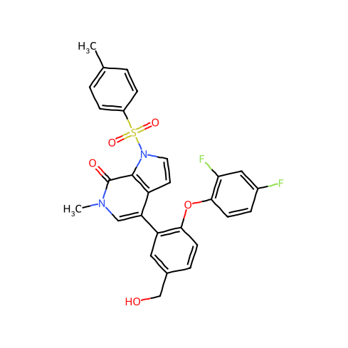 Cc1ccc(S(=O)(=O)n2ccc3c(-c4cc(CO)ccc4Oc4ccc(F)cc4F)cn(C)c(=O)c32)cc1